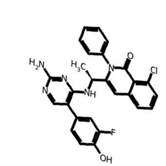 C[C@H](Nc1nc(N)ncc1-c1ccc(O)c(F)c1)c1cc2cccc(Cl)c2c(=O)n1-c1ccccc1